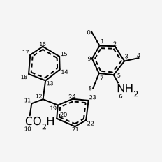 Cc1cc(C)c(N)c(C)c1.O=C(O)CC(c1ccccc1)c1ccccc1